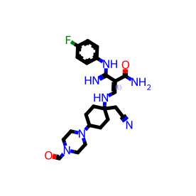 N#CCC1(N/C=C(\C(=N)Nc2ccc(F)cc2)C(N)=O)CCC(N2CCN(C=O)CC2)CC1